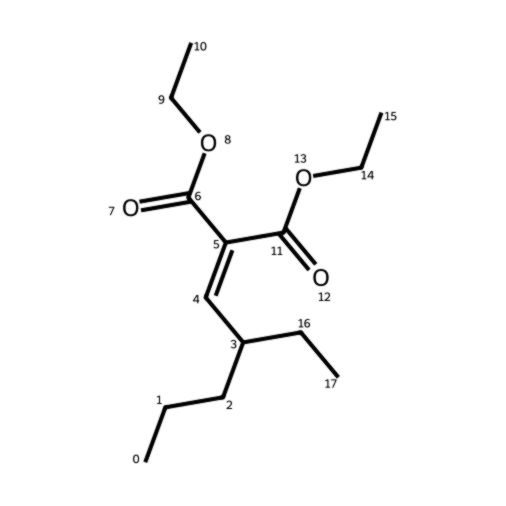 CCCC(C=C(C(=O)OCC)C(=O)OCC)CC